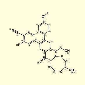 COc1ccc(C2=C(c3ccc(C#N)c(F)c3)C=C(C(=O)C3CCCC(N)CCC3)C(CCO)C2)cc1